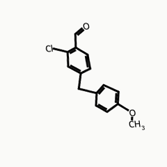 COc1ccc(Cc2ccc(C=O)c(Cl)c2)cc1